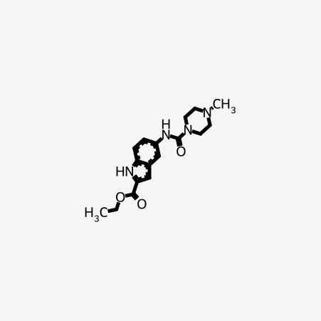 CCOC(=O)c1cc2cc(NC(=O)N3CCN(C)CC3)ccc2[nH]1